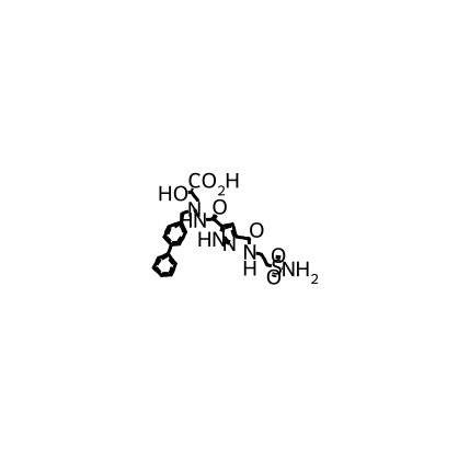 NS(=O)(=O)CCNC(=O)c1cc(C(=O)NN(Cc2ccc(-c3ccccc3)cc2)C[C@@H](O)C(=O)O)[nH]n1